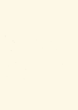 O=C1C(CCCc2ccccc2)CC(c2ccccc2)CN1O